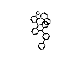 c1ccc(-c2cccc(-c3c4ccccc4c(-c4cccc5oc6ccc7ccccc7c6c45)c4ccccc34)c2)cc1